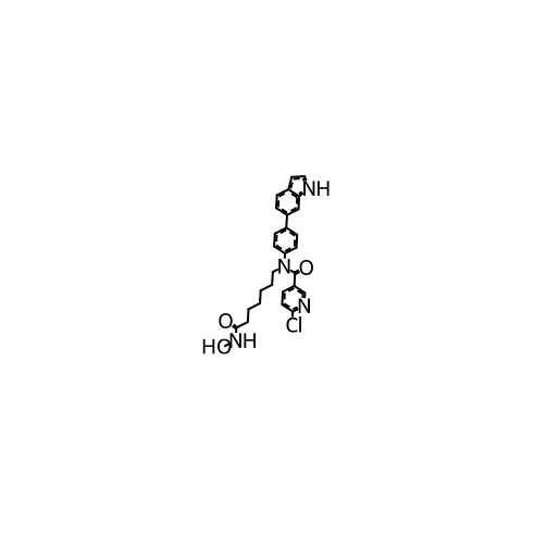 O=C(CCCCCCN(C(=O)c1ccc(Cl)nc1)c1ccc(-c2ccc3cc[nH]c3c2)cc1)NO